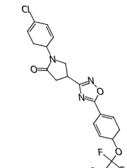 CCC(F)(F)OC1C=CC(c2nc(C3CC(=O)N(C4C=CC(Cl)=CC4)C3)no2)=CC1